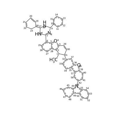 CC1c2c(oc3c(C4=NC(c5ccccc5)NC(C5C=CC=CC5)N4)cccc23)C=CC1c1ccc2c(c1)oc1ccc(-n3c4ccccc4c4ccccc43)cc12